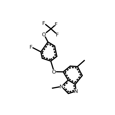 Cc1cc(Oc2ccc(OC(F)(F)F)c(F)c2)c2c(c1)ncn2C